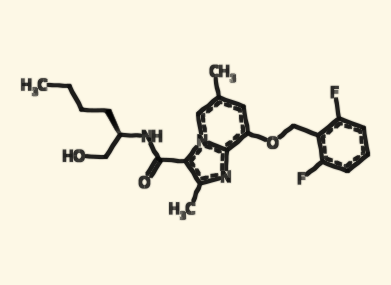 CCCC[C@H](CO)NC(=O)c1c(C)nc2c(OCc3c(F)cccc3F)cc(C)cn12